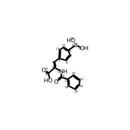 O=C(O)/C(=C/c1ccc(B(O)O)cc1)NC(=O)c1ccccc1